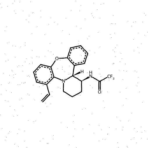 C=Cc1cccc2c1N1CCC[C@H](NC(=O)C(F)(F)F)[C@H]1c1ccccc1O2